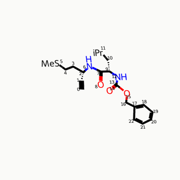 C#C[C@H](CCSC)NC(=O)[C@H](CC(C)C)NC(=O)OCc1ccccc1